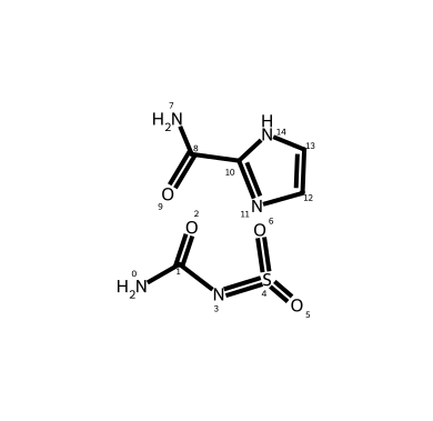 NC(=O)N=S(=O)=O.NC(=O)c1ncc[nH]1